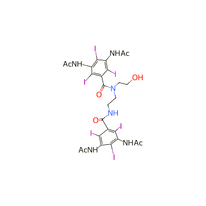 CC(=O)Nc1c(I)c(NC(C)=O)c(I)c(C(=O)NCCN(CCO)C(=O)c2c(I)c(NC(C)=O)c(I)c(NC(C)=O)c2I)c1I